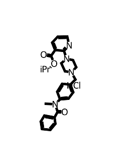 CC(C)OC(=O)c1cccnc1N1CCN(Cc2ccc(N(C)C(=O)c3ccccc3)cc2)CC1.Cl